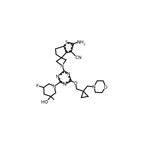 CC1(O)CC(F)CN(c2nc(OCC3(CN4CCOCC4)CC3)nc(N3CC4(CCc5sc(N)c(C#N)c54)C3)n2)C1